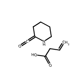 C=CCC(=O)O.O=C=C1CCCCN1